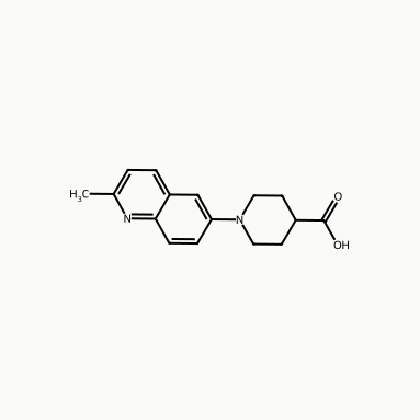 Cc1ccc2cc(N3CCC(C(=O)O)CC3)ccc2n1